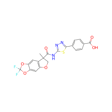 CC1(C(=O)Nc2nnc(-c3ccc(C(=O)O)cc3)s2)COc2cc3c(cc21)OC(F)(F)O3